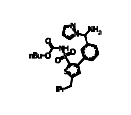 CCCCOC(=O)NS(=O)(=O)c1sc(CC(C)C)cc1-c1cccc(C(N)n2cccn2)c1